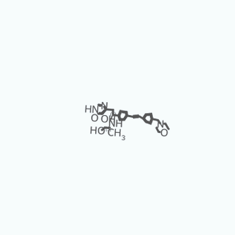 C[C@@H](CO)NC[C@@H](Cc1nc[nH]c(=O)c1O)c1ccc(C#Cc2ccc(CN3CCOCC3)cc2)cc1